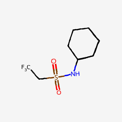 O=S(=O)(CC(F)(F)F)NC1CCCCC1